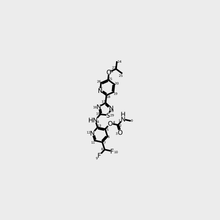 CNC(=O)Oc1cc(C(F)F)cnc1Nc1nc(-c2ccc(OC(C)C)cn2)ns1